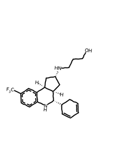 OCCCN[C@@H]1C[C@@H]2[C@H](C1)c1cc(C(F)(F)F)ccc1N[C@H]2C1C=CC=CC1